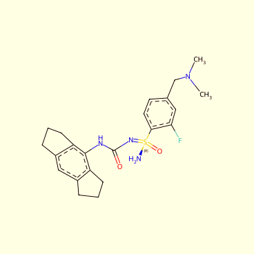 CN(C)Cc1ccc([S@](N)(=O)=NC(=O)Nc2c3c(cc4c2CCC4)CCC3)c(F)c1